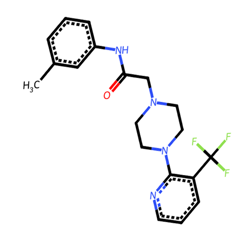 Cc1cccc(NC(=O)CN2CCN(c3ncccc3C(F)(F)F)CC2)c1